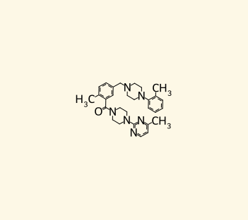 Cc1ccnc(N2CCN(C(=O)c3cc(CN4CCN(c5ccccc5C)CC4)ccc3C)CC2)n1